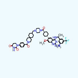 COc1cc2nc(C)nc(N[C@H](C)c3cc(N)cc(C(F)(F)F)c3)c2cc1[C@H]1CC[C@H](C(=O)N2CCN(CC3CCC4(CC3)CCN(C(=O)c3ccc(N5CCC(=O)NC5=O)cc3)CC4)CC2)CC1